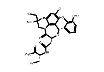 COC(=O)[C@@H](CC(C)C)NC(=O)C[C@H]1O[C@@H](c2cccc(OC)c2OC)c2cc(Cl)ccc2N(CC(CO)(OC)OC)C1=O